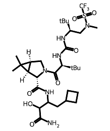 CN(C[C@@H](NC(=O)N[C@H](C(=O)N1C[C@H]2[C@@H]([C@H]1C(=O)NC(CC1CCC1)C(O)C(N)=O)C2(C)C)C(C)(C)C)C(C)(C)C)S(=O)(=O)C(F)(F)F